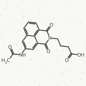 CC(=O)Nc1cc2c3c(cccc3c1)C(=O)N(CCCC(=O)O)C2=O